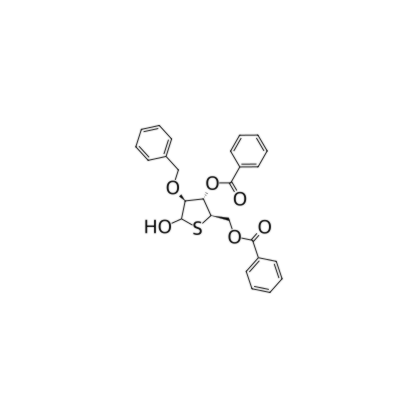 O=C(OC[C@H]1SC(O)[C@@H](OCc2ccccc2)[C@@H]1OC(=O)c1ccccc1)c1ccccc1